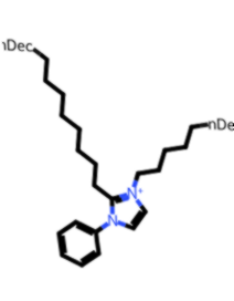 CCCCCCCCCCCCCCCCCCc1n(-c2ccccc2)cc[n+]1CCCCCCCCCCCCCCC